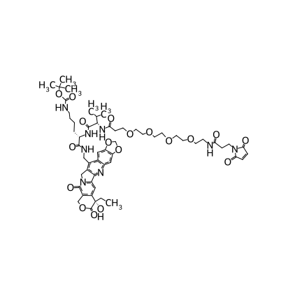 CC[C@@]1(O)C(=O)OCc2c1cc1n(c2=O)Cc2c-1nc1cc3c(cc1c2CNC(=O)[C@H](CCCCNC(=O)OC(C)(C)C)NC(=O)[C@@H](NC(=O)CCOCCOCCOCCOCCNC(=O)CCN1C(=O)C=CC1=O)C(C)C)OCO3